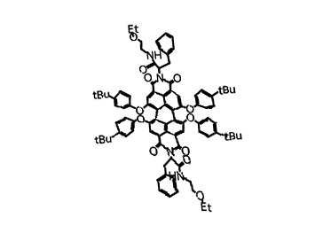 CCOCCNC(=O)C(Cc1ccccc1)N1C(=O)c2cc(Oc3ccc(C(C)(C)C)cc3)c3c4c(Oc5ccc(C(C)(C)C)cc5)cc5c6c(cc(Oc7ccc(C(C)(C)C)cc7)c(c7c(Oc8ccc(C(C)(C)C)cc8)cc(c2c37)C1=O)c64)C(=O)N(C(Cc1ccccc1)C(=O)NCCOCC)C5=O